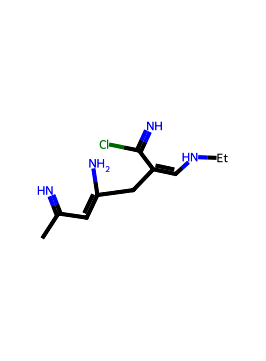 CCN/C=C(/C/C(N)=C/C(C)=N)C(=N)Cl